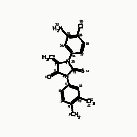 C=C1C(=O)N(c2ccc(C)c(C(F)(F)F)c2)C(=S)N1c1ccc(Cl)c(N)c1